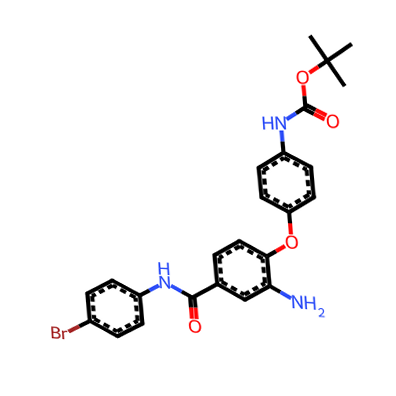 CC(C)(C)OC(=O)Nc1ccc(Oc2ccc(C(=O)Nc3ccc(Br)cc3)cc2N)cc1